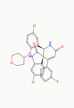 O=C1C=C(c2cccc(F)c2)[C@]2(C(=O)Nc3cc(Cl)ccc32)[C@@H](c2cc(Cl)ccc2OC2CCOCC2)N1